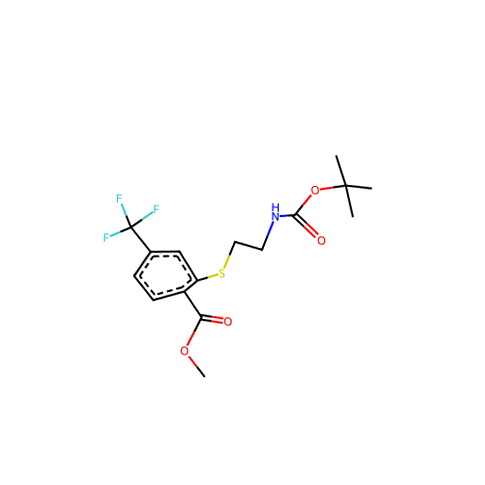 COC(=O)c1ccc(C(F)(F)F)cc1SCCNC(=O)OC(C)(C)C